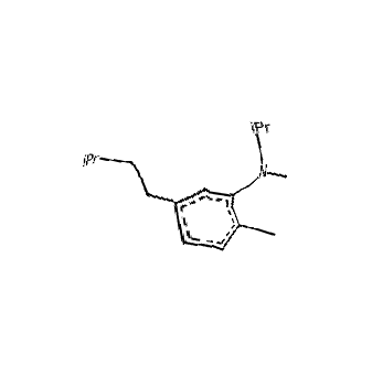 Cc1ccc(CCC(C)C)cc1N(C)C(C)C